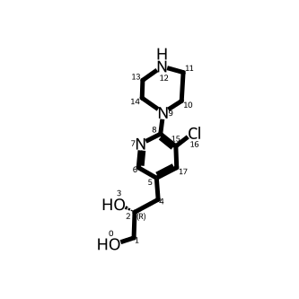 OC[C@H](O)Cc1cnc(N2CCNCC2)c(Cl)c1